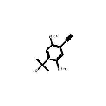 C#Cc1cc(CCCCCC)c(C(C)(C)O)cc1CCCCCC